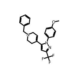 COc1ccc(-n2nc(C(F)(F)F)cc2C2=CCN(Cc3ccccc3)CC2)cc1